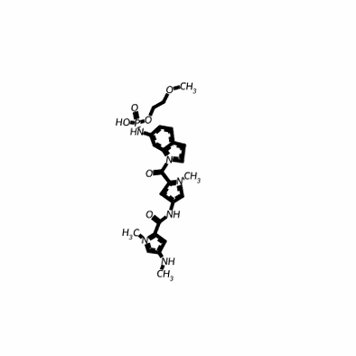 CNc1cc(C(=O)Nc2cc(C(=O)n3ccc4ccc(NP(=O)(O)OCCOC)cc43)n(C)c2)n(C)c1